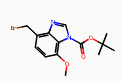 COc1ccc(CBr)c2ncn(C(=O)OC(C)(C)C)c12